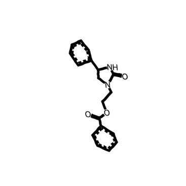 O=C(OCCN1CC(c2ccccc2)NC1=O)c1ccccc1